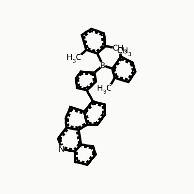 Cc1cccc(C)c1B(c1cccc(-c2cccc3c2ccc2cnc4ccccc4c23)c1)c1c(C)cccc1C